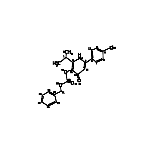 CC(C)c1[nH]c(-c2ccc(Cl)cc2)cc(=O)c1OC(=O)OCc1ccccc1